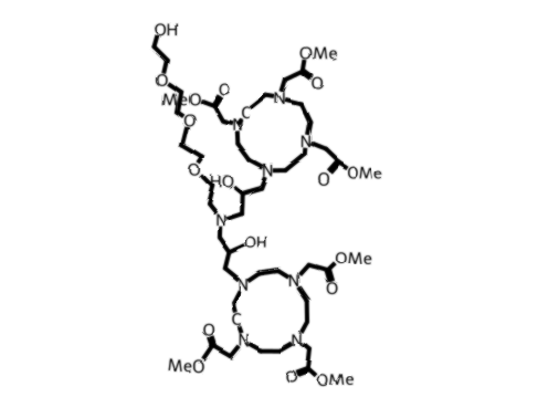 COC(=O)CN1CCN(CC(=O)OC)CCN(CC(O)CN(CCOCCOCCOCCO)CC(O)CN2CCN(CC(=O)OC)CCN(CC(=O)OC)CCN(CC(=O)OC)CC2)CCN(CC(=O)OC)CC1